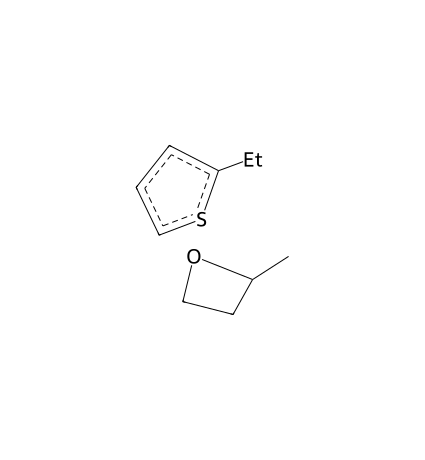 CC1CCO1.CCc1cccs1